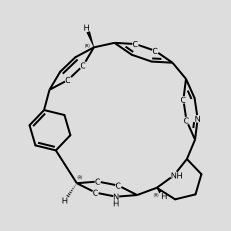 C1=C[C@H]2CCC1C1=CC=C(CC1)[C@H]1CCC(NC1)[C@H]1CCCC(N1)C1=NC=C(CC1)C1=CC=C2CC1